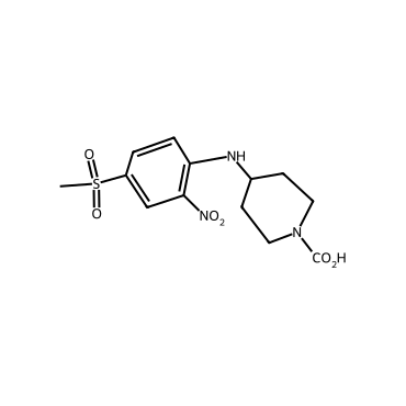 CS(=O)(=O)c1ccc(NC2CCN(C(=O)O)CC2)c([N+](=O)[O-])c1